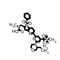 CCC1COCCN1c1cc(C(C)(C)S(C)(=O)=O)cc(-c2ccc3c(cc(CN(C)C(=O)O)n3S(=O)(=O)c3ccccc3)n2)n1